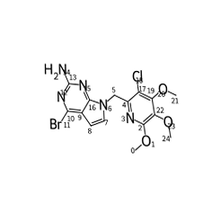 COc1nc(Cn2ccc3c(Br)nc(N)nc32)c(Cl)c(OC)c1OC